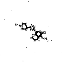 CC(C)N1CCC(c2nnc(-c3cc(Cl)c(N)c4c3OCCC4)o2)CC1